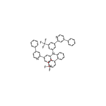 FC(F)(F)c1cc(-c2cc(-c3ccccc3)ccn2)cc(N(c2cc(-c3cc(-c4ccccc4)ccn3)cc(C(F)(F)F)c2)c2ccccc2-c2ccccc2)c1